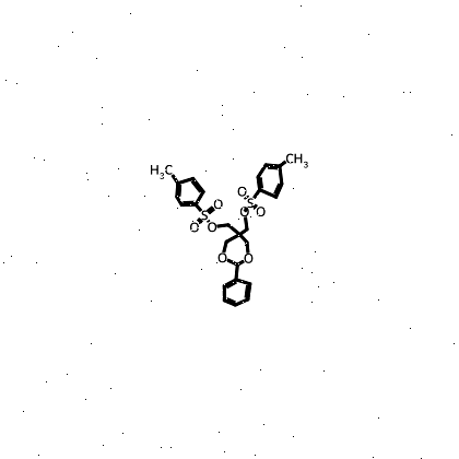 Cc1ccc(S(=O)(=O)OCC2(COS(=O)(=O)c3ccc(C)cc3)COC(c3ccccc3)OC2)cc1